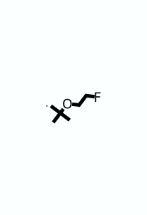 [CH2]C(C)(C)OCCF